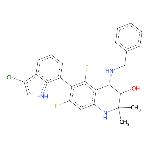 CC1(C)Nc2cc(F)c(-c3cccc4c(Cl)c[nH]c34)c(F)c2[C@H](NCc2ccccc2)C1O